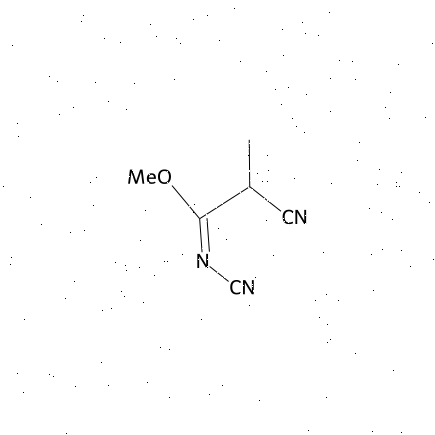 CO/C(=N/C#N)C(C)C#N